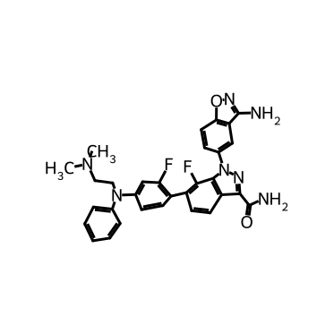 CN(C)CCN(c1ccccc1)c1ccc(-c2ccc3c(C(N)=O)nn(-c4ccc5onc(N)c5c4)c3c2F)c(F)c1